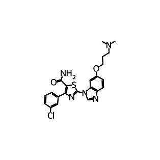 CN(C)CCCOc1ccc2ncn(-c3nc(-c4cccc(Cl)c4)c(C(N)=O)s3)c2c1